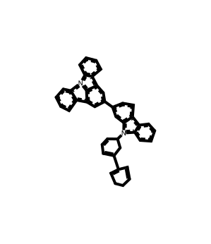 C1=CC(n2c3ccccc3c3ccc(-c4cc5c6ccccc6n6c7ccccc7c(c4)c56)cc32)CC(C2=CCCC=C2)=C1